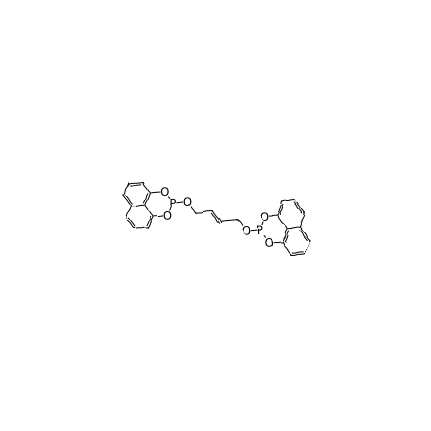 C(=CCOP1Oc2cccc3cccc(c23)O1)COP1Oc2cccc3cccc(c23)O1